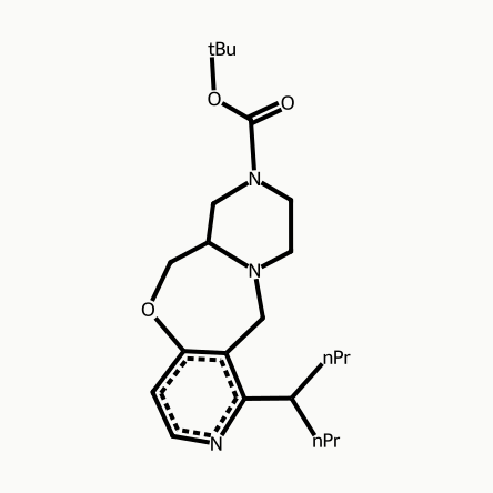 CCCC(CCC)c1nccc2c1CN1CCN(C(=O)OC(C)(C)C)CC1CO2